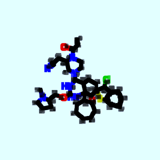 C=CC(=O)N1CCN(C2NC(OCC3CCCN3C)NC3(C4CCCCCC4)C(=O)[C@@]4(CCC23)Sc2ccccc2C4Cl)CC1CC#N